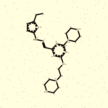 CCc1ccc(NN=Cc2nc(OCCN3CCOCC3)nc(N3CCOCC3)n2)s1